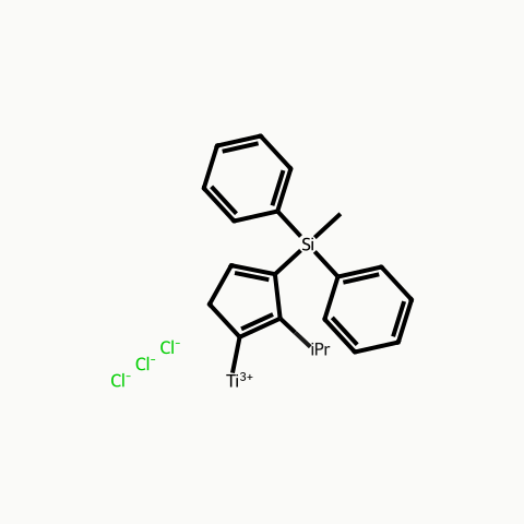 CC(C)C1=[C]([Ti+3])CC=C1[Si](C)(c1ccccc1)c1ccccc1.[Cl-].[Cl-].[Cl-]